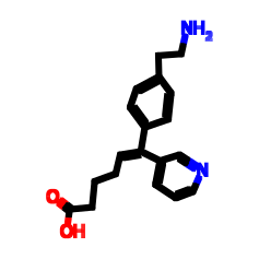 NCCc1ccc(C(=CCCCC(=O)O)c2cccnc2)cc1